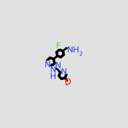 COc1ccc(-c2nc3c(-c4ccc(CN)c(F)c4)ccnc3[nH]2)nc1